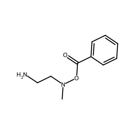 CN(CCN)OC(=O)c1ccccc1